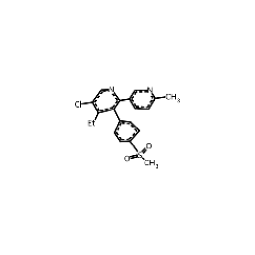 CCc1c(Cl)cnc(-c2ccc(C)nc2)c1-c1ccc(S(C)(=O)=O)cc1